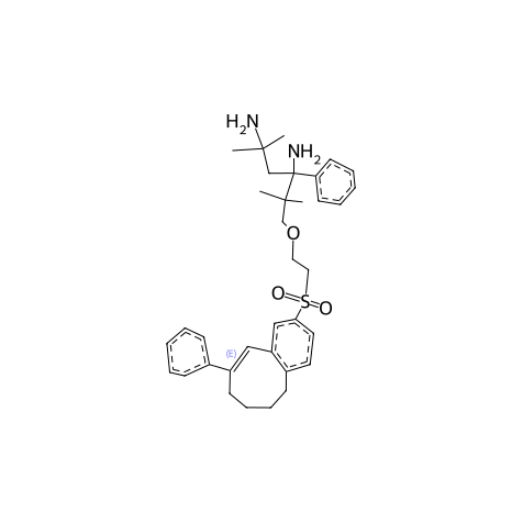 CC(C)(N)CC(N)(c1ccccc1)C(C)(C)COCCS(=O)(=O)c1ccc2c(c1)/C=C(/c1ccccc1)CCCC2